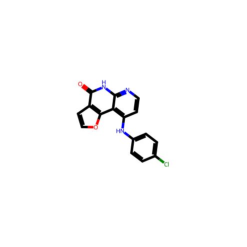 O=c1[nH]c2nccc(Nc3ccc(Cl)cc3)c2c2occc12